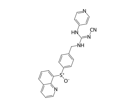 N#CN=C(NCc1ccc([S+]([O-])c2cccc3cccnc23)cc1)Nc1ccncc1